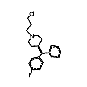 Fc1ccc(C(=C2CCN(CCCCl)CC2)c2ccccc2)cc1